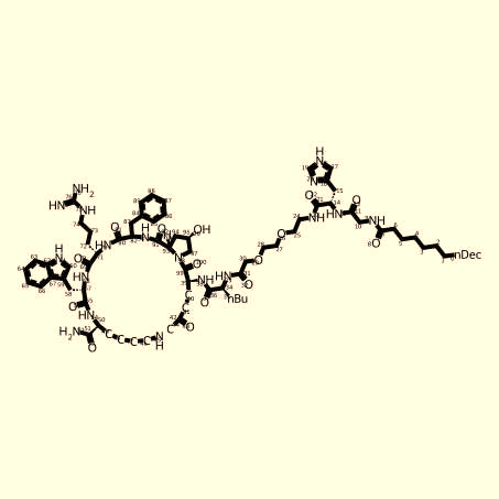 CCCCCCCCCCCCCCCCC(=O)NCC(=O)N[C@@H](Cc1c[nH]cn1)C(=O)NCCOCCOCC(=O)N[C@@H](CCCC)C(=O)N[C@H]1CCC(=O)CNCCCC[C@@H](C(N)=O)NC(=O)[C@H](Cc2c[nH]c3ccccc23)NC(=O)[C@H](CCCNC(=N)N)NC(=O)C(Cc2ccccc2)NC(=O)[C@@H]2C[C@@H](O)CN2C1=O